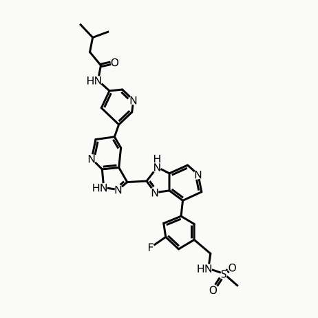 CC(C)CC(=O)Nc1cncc(-c2cnc3[nH]nc(-c4nc5c(-c6cc(F)cc(CNS(C)(=O)=O)c6)cncc5[nH]4)c3c2)c1